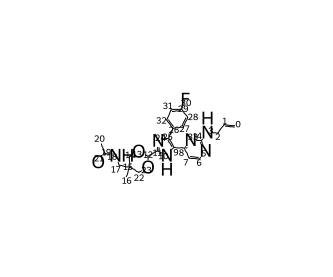 C=CCNc1nccc(-c2[nH]c(C3OCC(C)(CNC(C)=O)CO3)nc2-c2ccc(F)cc2)n1